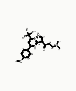 COc1ccc(-c2cc(C(F)(F)F)n3ncc(C(=O)CCN(C)C)c3n2)cc1